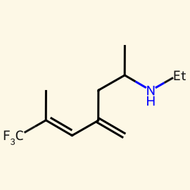 C=C(/C=C(\C)C(F)(F)F)CC(C)NCC